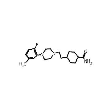 Cc1ccc(F)c(N2CCN(CCC3CCC(C(N)=O)CC3)CC2)c1